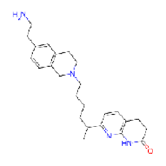 CC(CCCCN1CCc2cc(CCN)ccc2C1)c1ccc2c(n1)NC(=O)CC2